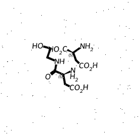 N[C@@H](CC(=O)O)C(=O)NCCO.N[C@@H](CC(=O)O)C(=O)O